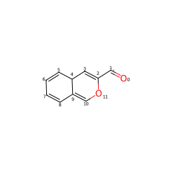 O=[C]C1=CC2C=CC=CC2=CO1